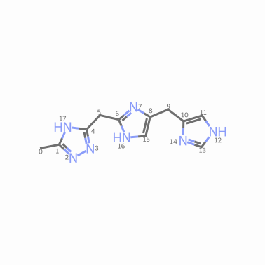 Cc1nnc(Cc2nc(Cc3c[nH]cn3)c[nH]2)[nH]1